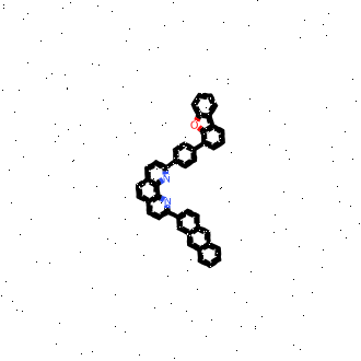 c1ccc2cc3cc(-c4ccc5ccc6ccc(-c7ccc(-c8cccc9c8oc8ccccc89)cc7)nc6c5n4)ccc3cc2c1